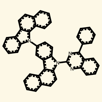 c1ccc(-c2nc(-n3c4ccc(-n5c6ccccc6c6ccc7ccccc7c65)cc4c4c5ccccc5ccc43)nc3ccccc23)cc1